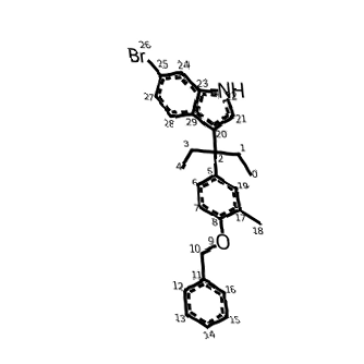 CCC(CC)(c1ccc(OCc2ccccc2)c(C)c1)c1c[nH]c2cc(Br)ccc12